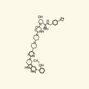 C[C@@H]1c2c([nH]c3nnc(-c4ccccc4O)cc23)CCN1c1ncc(C2CCN(C3CCN(C(=O)N[C@H](C(=O)N4C[C@H](O)C[C@H]4C(=O)NCc4ccc(C56CC(C5)C6)cc4)C(C)(C)C)CC3)CC2)cn1